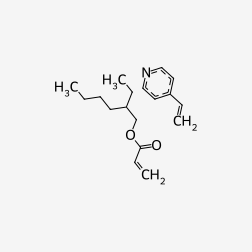 C=CC(=O)OCC(CC)CCCC.C=Cc1ccncc1